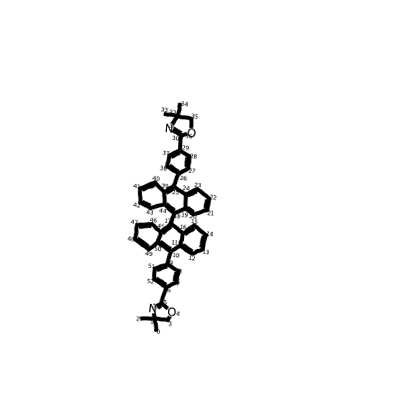 CC1(C)COC(c2ccc(-c3c4ccccc4c(-c4c5ccccc5c(-c5ccc(C6=NC(C)(C)CO6)cc5)c5ccccc45)c4ccccc34)cc2)=N1